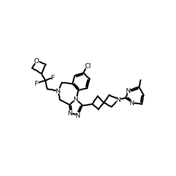 Cc1ccnc(N2CC3(CC(c4nnc5n4-c4ccc(Cl)cc4CN(CC(F)(F)C4COC4)C5)C3)C2)n1